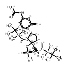 CC(=O)Nc1ccn([C@@H]2O[C@H](CO[Si](C)(C)C(C)(C)C)[C@](C#N)(OS(C)(=O)=O)[C@H]2O[Si](C)(C)C(C)(C)C)c(=O)n1